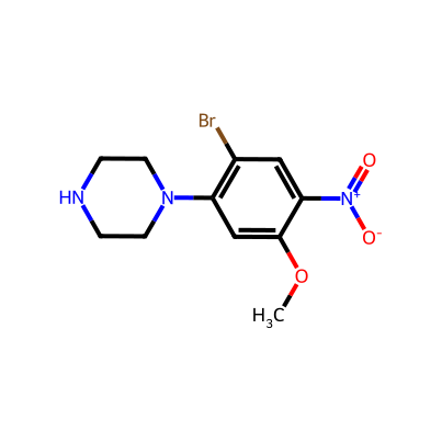 COc1cc(N2CCNCC2)c(Br)cc1[N+](=O)[O-]